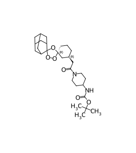 CC(C)(C)OC(=O)NC1CCN(C(=O)C[C@@H]2CCC[C@]3(C2)OOC2(O3)C3CC4CC(C3)CC2C4)CC1